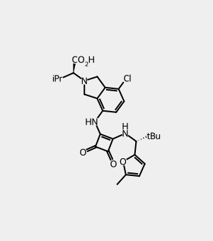 Cc1ccc([C@H](Nc2c(Nc3ccc(Cl)c4c3CN([C@H](C(=O)O)C(C)C)C4)c(=O)c2=O)C(C)(C)C)o1